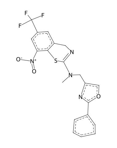 CN(Cc1coc(-c2ccccc2)n1)C1=NCc2cc(C(F)(F)F)cc([N+](=O)[O-])c2S1